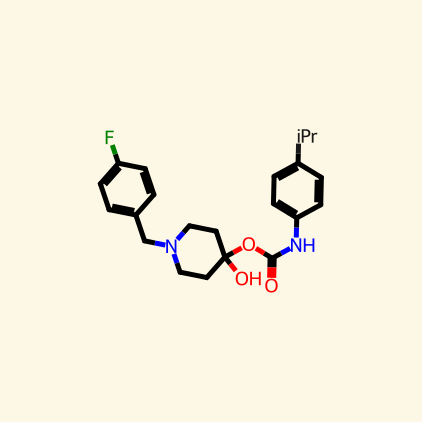 CC(C)c1ccc(NC(=O)OC2(O)CCN(Cc3ccc(F)cc3)CC2)cc1